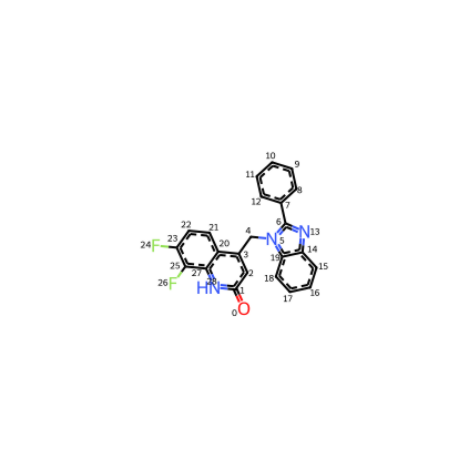 O=c1cc(Cn2c(-c3ccccc3)nc3ccccc32)c2ccc(F)c(F)c2[nH]1